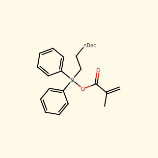 C=C(C)C(=O)O[Si](CCCCCCCCCCCC)(c1ccccc1)c1ccccc1